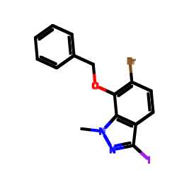 Cn1nc(I)c2ccc(Br)c(OCc3ccccc3)c21